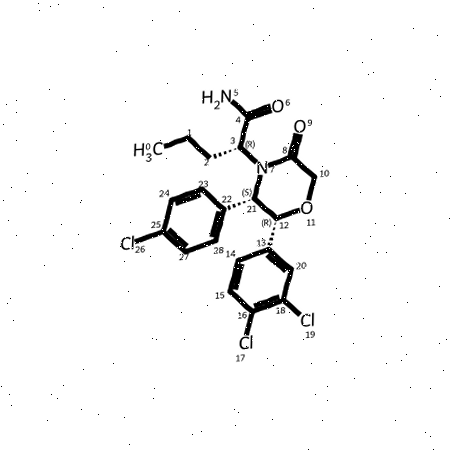 CCC[C@H](C(N)=O)N1C(=O)CO[C@H](c2ccc(Cl)c(Cl)c2)[C@@H]1c1ccc(Cl)cc1